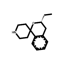 CC[C@@H]1Cc2ccccc2C2(CCNCC2)O1